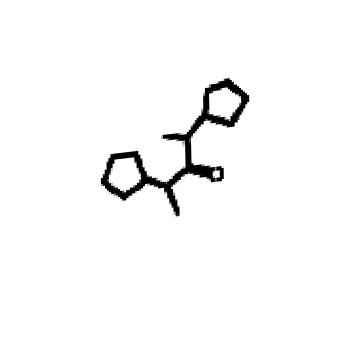 CC(C(=O)C(C)C1CCCC1)C1CCCC1